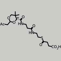 CC(=O)CC1OCC(C)(C)[C@H](C(=O)NCCC(=O)NCCSC(=O)CCC(=O)O)O1